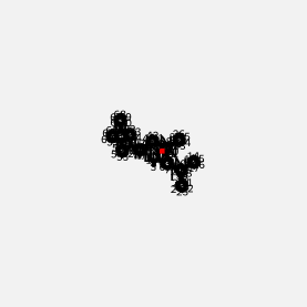 CC/C=C(/C)N(c1ccc(-c2nc(-c3ccccc3)cc(-c3ccccc3)n2)cc1-c1nc(-c2ccccc2)nc(-c2cccc(-c3cccc(N4c5ccccc5B5c6ccccc6N(c6ccccc6)c6cccc4c65)c3)c2)n1)C(C)C(C)C